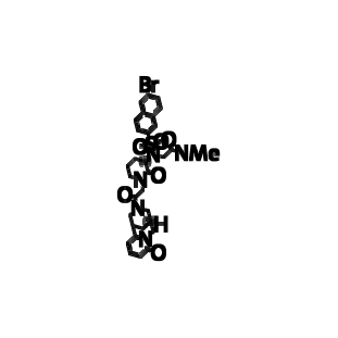 CNC(=O)CN([C@H]1CCCN(CC(=O)N2CC3C[C@@H](C2)Cn2c3cccc2=O)C1=O)S(=O)(=O)c1ccc2cc(Br)ccc2c1